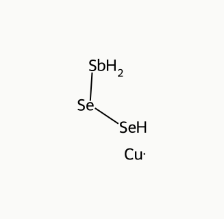 [Cu].[SeH][Se][SbH2]